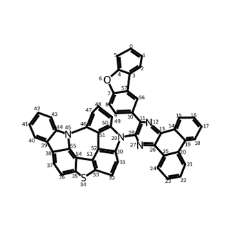 c1ccc2c(c1)oc1ccc(-c3nc4c5ccccc5c5ccccc5c4nc3-n3c4ccc5sc6ccc7c8ccccc8n8c9cccc3c9c4c5c6c78)cc12